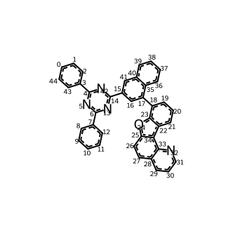 c1ccc(-c2nc(-c3ccccc3)nc(-c3cc(-c4cccc5c4oc4ccc6cccnc6c45)c4ccccc4c3)n2)cc1